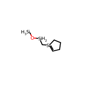 [SiH3]O[SiH2]C[Si]1=CCCC1